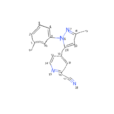 Cc1cccc(-n2nc(C)cc2-c2ccnc(C#N)c2)c1